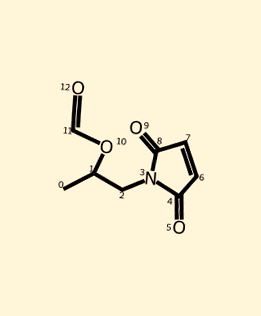 CC(CN1C(=O)C=CC1=O)OC=O